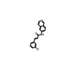 O=C(/C=C/c1cccc(Cl)c1)Nc1ccc2cnccc2c1